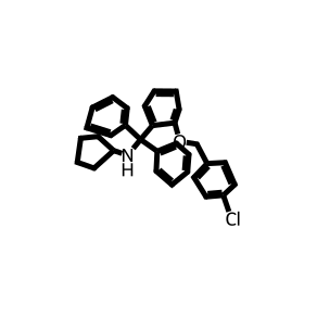 Clc1ccc(COc2ccccc2C(NC2CCCC2)(c2ccccc2)c2ccccc2)cc1